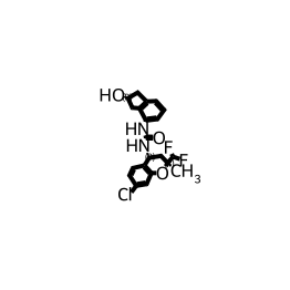 C[C@]1(C(F)F)C[C@@H](NC(=O)Nc2cccc3c2C[C@H](O)C3)c2ccc(Cl)cc2O1